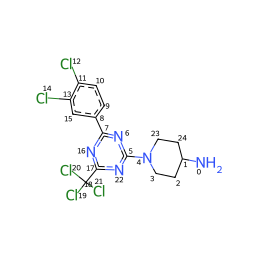 NC1CCN(c2nc(-c3ccc(Cl)c(Cl)c3)nc(C(Cl)(Cl)Cl)n2)CC1